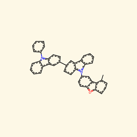 Cc1cccc2oc3ccc(-n4c5ccccc5c5cc(-c6ccc7c(c6)c6ccccc6n7-c6ccccc6)ccc54)cc3c12